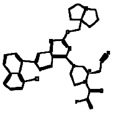 C=C(F)C(=O)N1CCN(c2nc(OCC34CCCN3CCC4)nc3cc(-c4cccc5cccc(Cl)c45)ccc23)C[C@@H]1CC#N